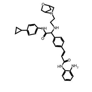 Nc1ccccc1NC(=O)C=Cc1ccc(C(NCCN2CC3CC2CO3)C(=O)Nc2ccc(C3CC3)cc2)cc1